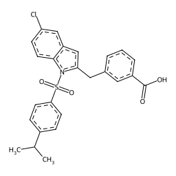 CC(C)c1ccc(S(=O)(=O)n2c(Cc3cccc(C(=O)O)c3)cc3cc(Cl)ccc32)cc1